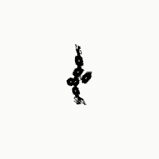 c1ccc(-n2c3cc(-c4ccc(-c5cncs5)cc4)ccc3c3c4ccccc4c(-c4ccc(-c5cncs5)cc4)cc32)cc1